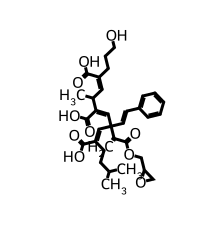 C=C(C(=O)OCC1CO1)C(C=Cc1ccccc1)(C=C(CCC(C)C)C(=O)O)C=C(C(=O)O)C(C)C=C(CCCO)C(=O)O